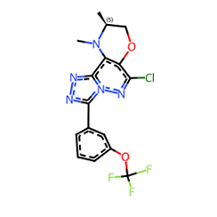 C[C@H]1COc2c(Cl)nn3c(-c4cccc(OC(F)(F)F)c4)nnc3c2N1C